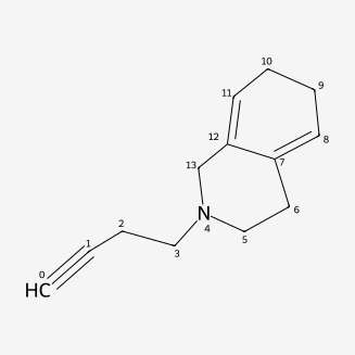 C#CCCN1CCC2=CCCC=C2C1